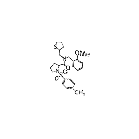 COc1ccccc1CN(CC1CCCS1)C(=O)C1CCCN1S(=O)(=O)c1ccc(C)cc1